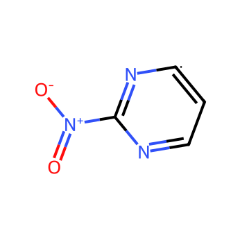 O=[N+]([O-])c1n[c]ccn1